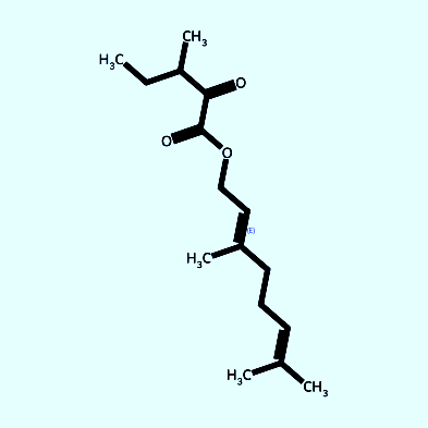 CCC(C)C(=O)C(=O)OC/C=C(\C)CCC=C(C)C